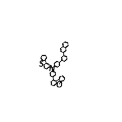 c1cc(-c2ccc(N(c3ccc(-c4cccc5oc6ccccc6c45)cc3)c3ccc4sc5ccccc5c4c3)cc2)cc(-c2ccc3ccccc3c2)c1